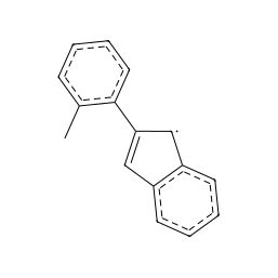 Cc1ccccc1C1=Cc2ccccc2[CH]1